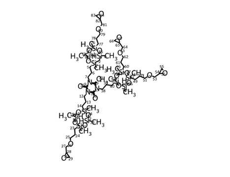 C[SiH]1C[Si](C)(CCCn2c(=O)n(CCC[Si]3(C)O[SiH](C)O[Si](C)(CCCOCC4CO4)O[SiH](C)O3)c(=O)n(CCC[Si]3(C)O[SiH](C)O[Si](C)(CCCOCC4CO4)O[Si](C)(CCCOCC4CO4)O3)c2=O)O[SiH](C)O[Si](C)(CCCOCC2CO2)O1